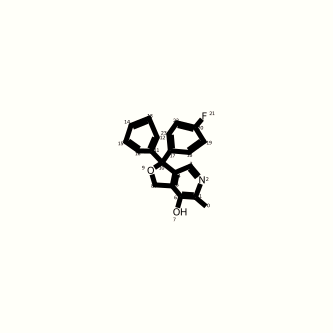 Cc1ncc2c(c1O)COC2(c1ccccc1)c1ccc(F)cc1